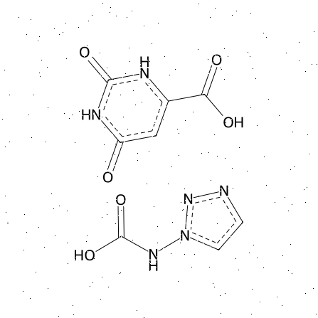 O=C(O)Nn1ccnn1.O=C(O)c1cc(=O)[nH]c(=O)[nH]1